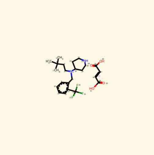 CC(C)(C)CCN(Cc1ccccc1C(F)(F)F)C1CCNCC1.O=C(O)/C=C/C(=O)O